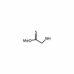 COC(=S)C[NH]